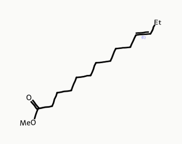 CC/C=C/CCCCCCCCCC(=O)OC